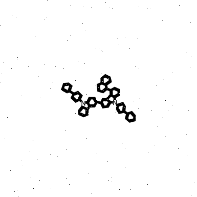 c1ccc(-c2ccc(-n3c4ccccc4c4cc(-c5ccc6c(c5)c5c(-c7cccc8ccccc78)cccc5n6-c5ccc(-c6ccccc6)cc5)ccc43)cc2)cc1